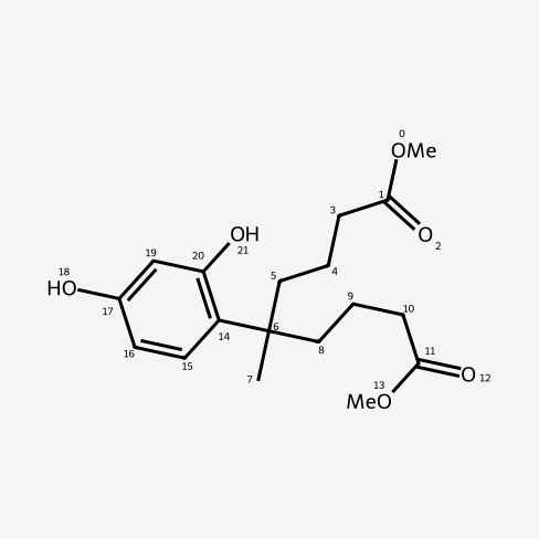 COC(=O)CCCC(C)(CCCC(=O)OC)c1ccc(O)cc1O